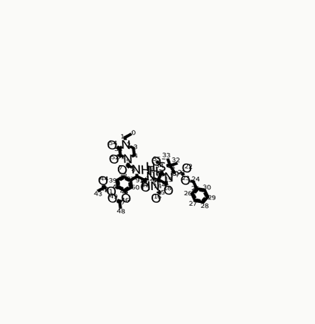 CCN1CCN(C(=O)NC(C(=O)N[C@]2(NC=O)C(=O)N3[C@@H](C(=O)OCc4ccccc4)C(C)(C)[S+]([O-])[C@@H]32)c2ccc(OC(C)=O)c(OC(C)=O)c2)C(=O)C1=O